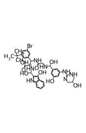 CC(C)(C)c1cc(Br)cc(C(NC(=O)CNC(O)c2cc(O)cc(NC3=NCC(O)CN3)c2)[C@H](NC(O)c2[nH]c3ccccc3c2O)C(=O)O)c1